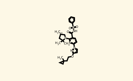 C[C@@H]1CN(c2nc(-n3ccc(OCCC4(C)CC4)n3)ccc2C(=O)NS(=O)(=O)c2ccccc2)C(C)(C)C1